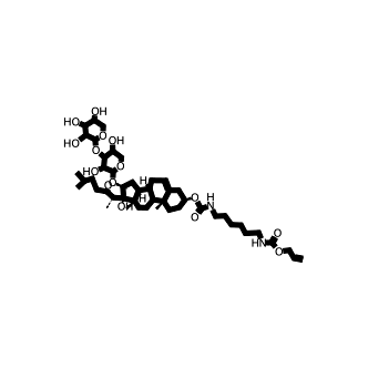 C=CCOC(=O)NCCCCCCNC(=O)O[C@H]1CC[C@@]2(C)C(=CC[C@@H]3C2CC[C@@]2(C)[C@H]3C[C@H](OC3OCC(O)C(OC4OCC(O)C(O)C4O)C3O)[C@]2(O)[C@H](C)C(=O)CCC(C)C)C1